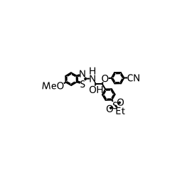 CCS(=O)(=O)c1ccc(C(Oc2ccc(C#N)cc2)C(O)Nc2nc3ccc(OC)cc3s2)cc1